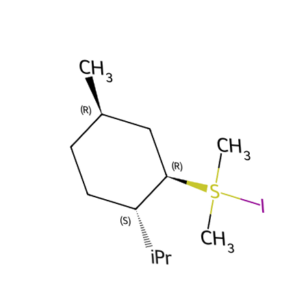 CC(C)[C@@H]1CC[C@@H](C)C[C@H]1S(C)(C)I